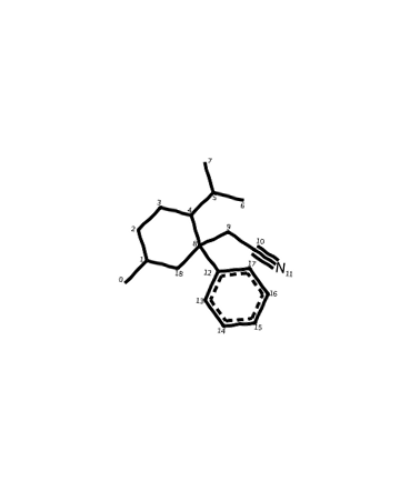 CC1CCC(C(C)C)C(CC#N)(c2ccccc2)C1